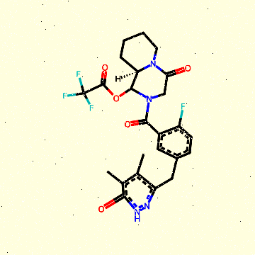 Cc1c(Cc2ccc(F)c(C(=O)N3CC(=O)N4CCCC[C@@H]4C3OC(=O)C(F)(F)F)c2)n[nH]c(=O)c1C